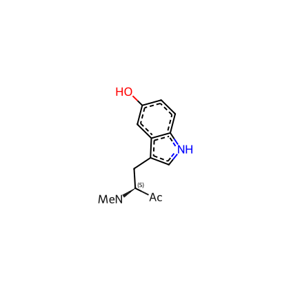 CN[C@@H](Cc1c[nH]c2ccc(O)cc12)C(C)=O